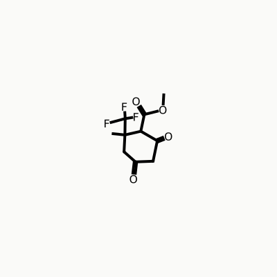 COC(=O)C1C(=O)CC(=O)CC1(C)C(F)(F)F